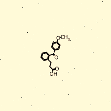 COc1ccc(C(=O)c2ccccc2CCC(=O)O)cc1